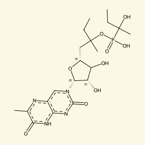 CCC(C)(C[C@H]1O[C@@H](n2cc3nc(C)c(=O)[nH]c3nc2=O)[C@@H](O)C1O)OP(=O)(O)C(C)(O)CC